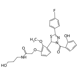 COc1c(OCC(=O)NCCCO)cccc1C1SC(c2ccc(F)cc2)=NN1C(=O)c1ccccc1O